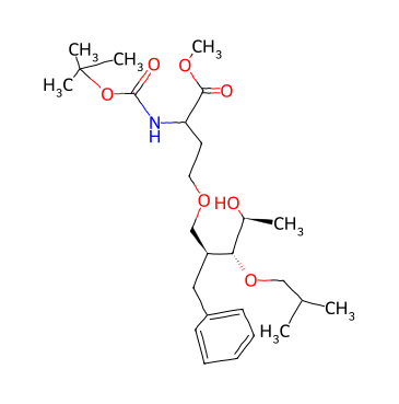 COC(=O)C(CCOC[C@H](Cc1ccccc1)[C@@H](OCC(C)C)[C@H](C)O)NC(=O)OC(C)(C)C